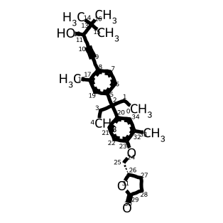 CCC(CC)(c1ccc(C#CC(O)C(C)(C)C)c(C)c1)c1ccc(OC[C@@H]2CCC(=O)O2)c(C)c1